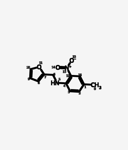 Cc1ccc(NCc2ccco2)c([N+](=O)[O-])c1